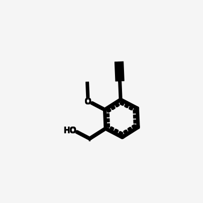 C#Cc1cccc([CH]O)c1OC